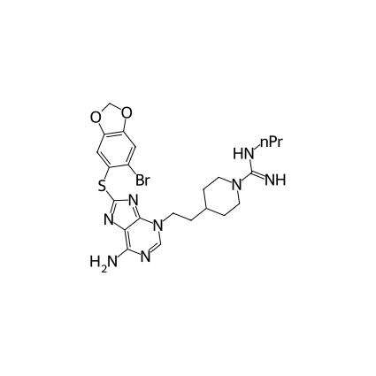 CCCNC(=N)N1CCC(CCn2cnc(N)c3nc(Sc4cc5c(cc4Br)OCO5)nc2-3)CC1